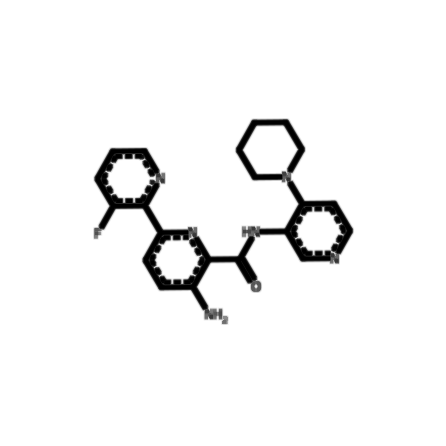 Nc1ccc(-c2ncccc2F)nc1C(=O)Nc1cnccc1N1CCCCC1